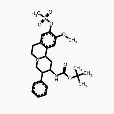 COc1cc2c(cc1OS(C)(=O)=O)CCN1CC(c3ccccc3)C(NC(=O)OC(C)(C)C)CC21